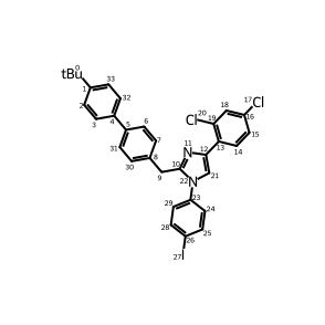 CC(C)(C)c1ccc(-c2ccc(Cc3nc(-c4ccc(Cl)cc4Cl)cn3-c3ccc(I)cc3)cc2)cc1